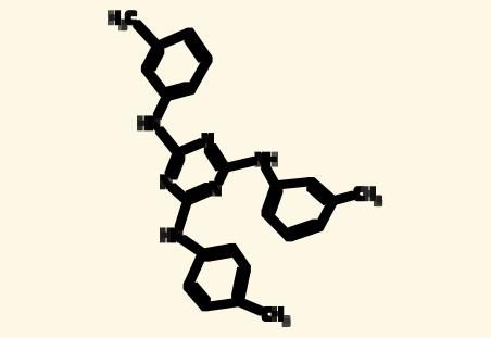 Cc1ccc(Nc2nc(Nc3cccc(C)c3)nc(Nc3cccc(C)c3)n2)cc1